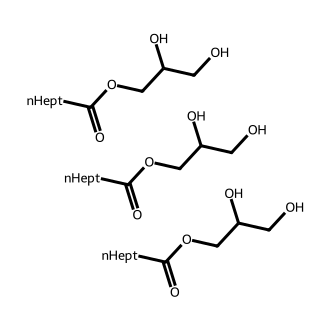 CCCCCCCC(=O)OCC(O)CO.CCCCCCCC(=O)OCC(O)CO.CCCCCCCC(=O)OCC(O)CO